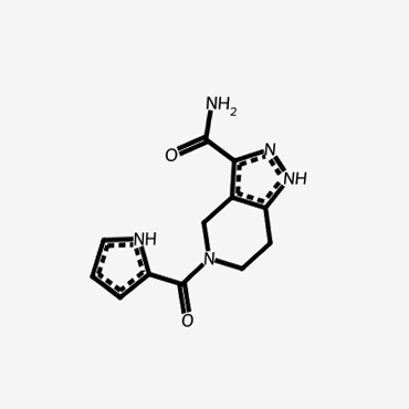 NC(=O)c1n[nH]c2c1CN(C(=O)c1ccc[nH]1)CC2